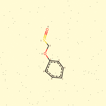 O=[S+]COc1ccccc1